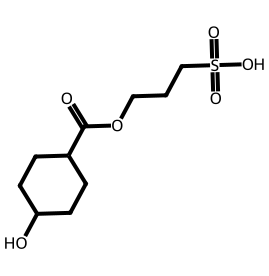 O=C(OCCCS(=O)(=O)O)C1CCC(O)CC1